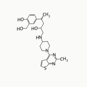 C=C(CC(O)CNC1CCN(c2nc(C)nc3sccc23)CC1)c1ccc(O)c(CO)c1